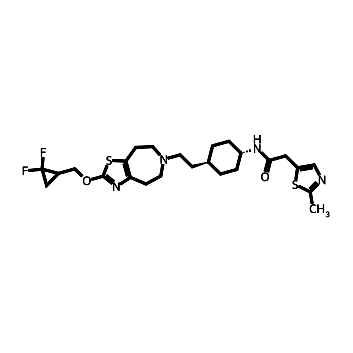 Cc1ncc(CC(=O)N[C@H]2CC[C@H](CCN3CCc4nc(OCC5CC5(F)F)sc4CC3)CC2)s1